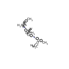 CCCCC1(CCCC)c2cc(C)ccc2-c2ccc(/C=C/c3ccc(OP(Oc4ccc(/C=N/N(C)[PH](=S)Oc5ccc(C)cc5)cc4)P(P)N=[N+]=[N-])cc3)cc21